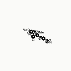 COc1cc2c(cc1OC(C)C)[C@H](c1ccc(Cl)cc1)N(c1ccc(N(C)CC3CCC(N4CCNC(=O)C4)CC3)cc1OC)C(=O)C2